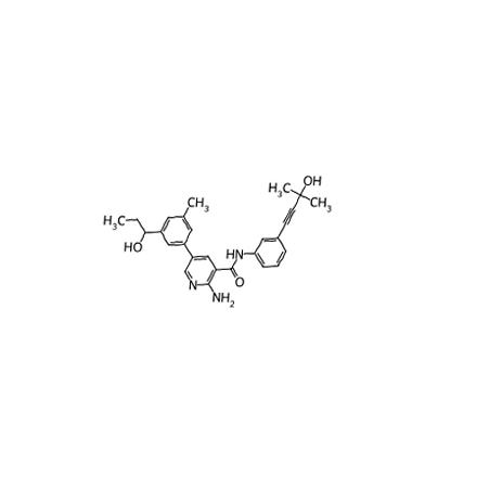 CCC(O)c1cc(C)cc(-c2cnc(N)c(C(=O)Nc3cccc(C#CC(C)(C)O)c3)c2)c1